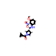 COc1cccc(NC[C@@H]2CCN(C(=O)C3CC3)C2)c1[N+](=O)[O-]